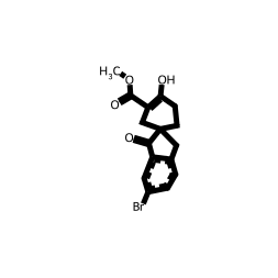 COC(=O)C1=C(O)CCC2(C1)Cc1ccc(Br)cc1C2=O